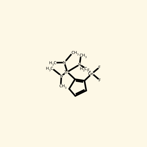 C[N](C)[Zr]([C]1=[C]([Ge]([F])([F])[F])C=CC1)([N](C)C)[N](C)C